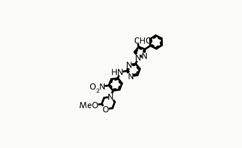 COC1CN(c2ccc(Nc3nccc(-n4cc(C=O)c(-c5ccccc5)n4)n3)cc2[N+](=O)[O-])CCO1